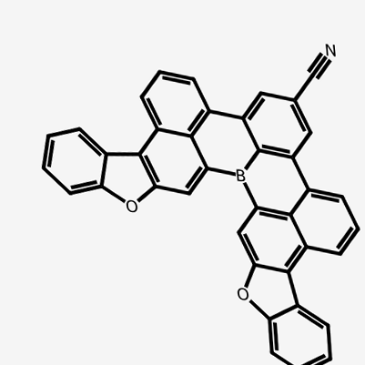 N#Cc1cc2c3c(c1)-c1cccc4c1c(cc1oc5ccccc5c14)B3c1cc3oc4ccccc4c3c3cccc-2c13